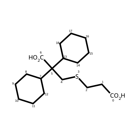 O=C(O)CCSCC(C(=O)O)(C1CCCCC1)C1CCCCC1